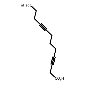 CCCCCCCCCC#CCCCC#CCC(=O)O